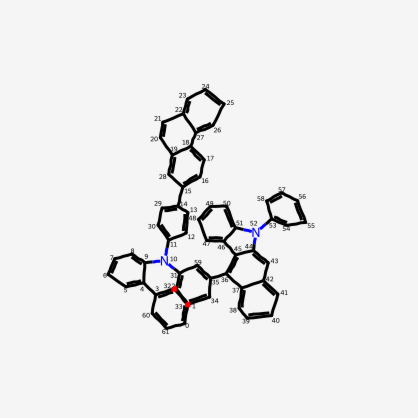 c1ccc(-c2ccccc2N(c2ccc(-c3ccc4c(ccc5ccccc54)c3)cc2)c2cccc(-c3c4ccccc4cc4c3c3ccccc3n4-c3ccccc3)c2)cc1